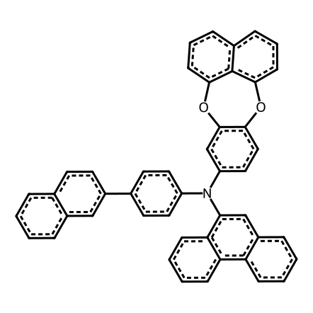 c1ccc2cc(-c3ccc(N(c4ccc5c(c4)Oc4cccc6cccc(c46)O5)c4cc5ccccc5c5ccccc45)cc3)ccc2c1